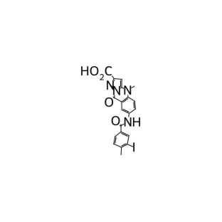 Cc1ccc(C(=O)Nc2ccc3c(c2)c(=O)n2nc(C(=O)O)cc2n3C)cc1I